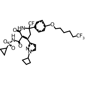 O=C1NC(c2ccc(OCCCCCC(F)(F)F)cc2)(C(F)(F)F)CC(c2ccn(C3CCC3)n2)=C1C(=O)NS(=O)(=O)C1CC1